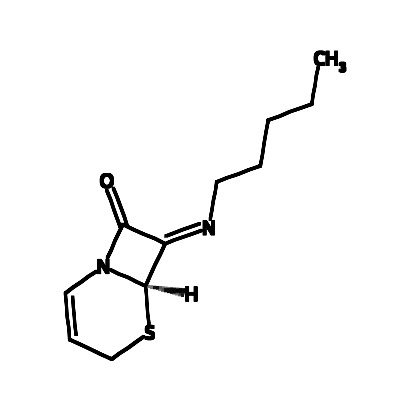 CCCCC/N=C1\C(=O)N2C=CCS[C@H]12